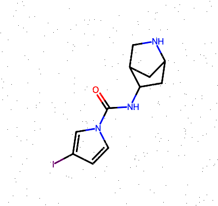 O=C(NC1CC2CC1CN2)n1ccc(I)c1